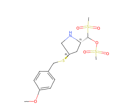 COc1ccc(CS[C@H]2CN[C@H](C(OS(C)(=O)=O)S(C)(=O)=O)C2)cc1